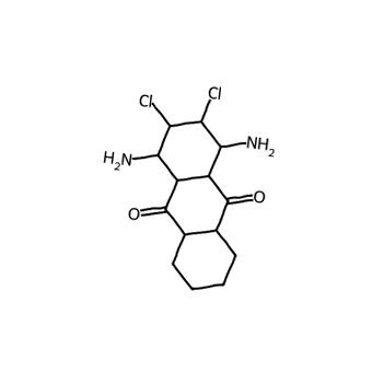 NC1C(Cl)C(Cl)C(N)C2C(=O)C3CCCCC3C(=O)C12